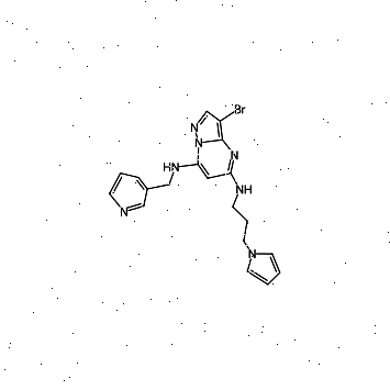 Brc1cnn2c(NCc3cccnc3)cc(NCCCn3cccc3)nc12